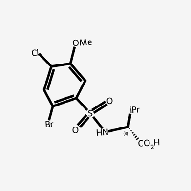 COc1cc(S(=O)(=O)N[C@@H](C(=O)O)C(C)C)c(Br)cc1Cl